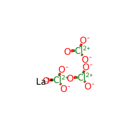 [La+3].[O-][Cl+2]([O-])[O-].[O-][Cl+2]([O-])[O-].[O-][Cl+2]([O-])[O-]